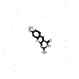 COc1ccc2c(c1)OC1=NC(S)NC(=O)C1=C2